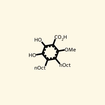 CCCCCCCCc1c(O)c(O)c(C(=O)O)c(OC)c1CCCCCCCC